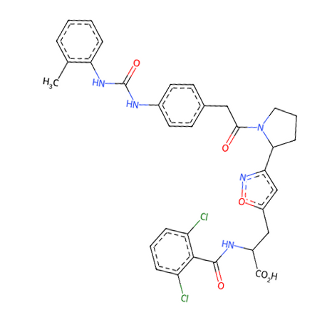 Cc1ccccc1NC(=O)Nc1ccc(CC(=O)N2CCCC2c2cc(CC(NC(=O)c3c(Cl)cccc3Cl)C(=O)O)on2)cc1